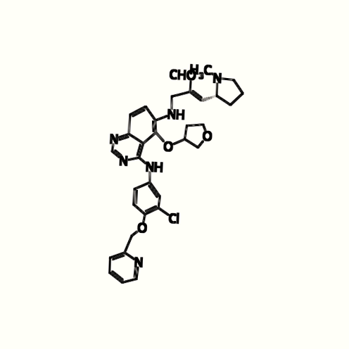 CN1CCC[C@@H]1/C=C(\C=O)CNc1ccc2ncnc(Nc3ccc(OCc4ccccn4)c(Cl)c3)c2c1OC1CCOC1